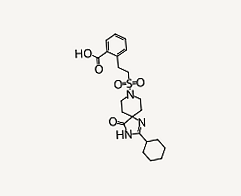 O=C(O)c1ccccc1CCS(=O)(=O)N1CCC2(CC1)N=C(C1CCCCC1)NC2=O